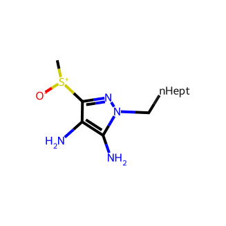 CCCCCCCCn1nc([S+](C)[O-])c(N)c1N